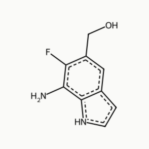 Nc1c(F)c(CO)cc2cc[nH]c12